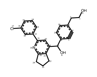 OCCc1c#cc(C(O)c2cc(-c3cccc(Cl)c3)nc3c2CCC3)cc1